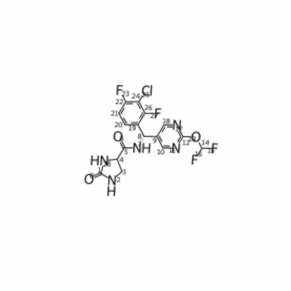 O=C1NCC(C(=O)N[C@@H](c2cnc(OC(F)F)nc2)c2ccc(F)c(Cl)c2F)N1